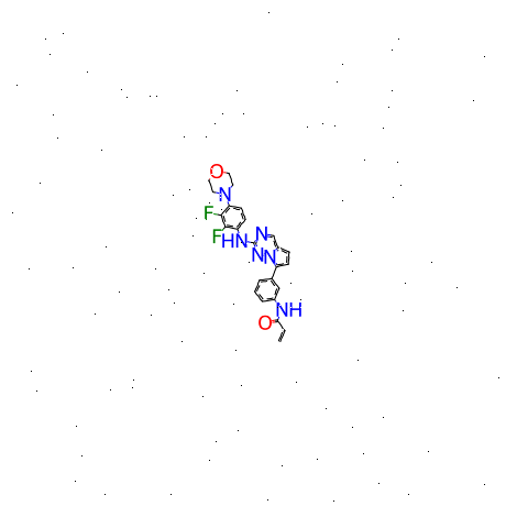 C=CC(=O)Nc1cccc(-c2ccc3cnc(Nc4ccc(N5CCOCC5)c(F)c4F)nn23)c1